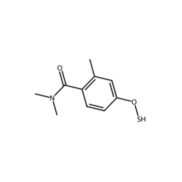 Cc1cc(OS)ccc1C(=O)N(C)C